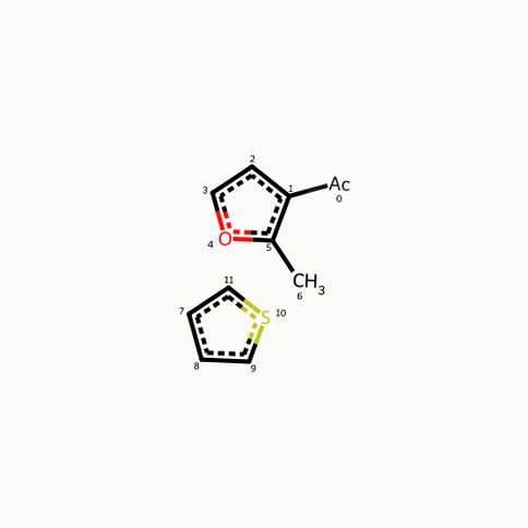 CC(=O)c1ccoc1C.c1ccsc1